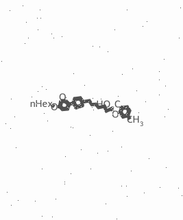 CCCCCCOc1ccc(-c2ccc(CCCCCCCOc3cc(C)ccc3C(=O)O)cc2)c2c1O2